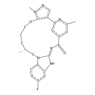 Cc1cc2cc(n1)-c1cnn(C)c1OCCC[C@@H](C)CN1/C(=N/C2=O)Nc2cc(F)ccc21